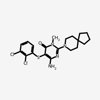 Cn1c(N2CCC3(CCCC3)CC2)nc(N)c(Sc2cccc(Cl)c2Cl)c1=O